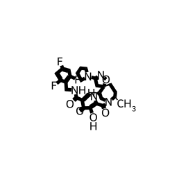 C[C@H]1CC[C@]2(CC(N3CCCC3)=NO2)[C@H]2CN1C(=O)c1c(O)c(=O)c(C(=O)NCc3c(F)cc(F)cc3F)cn12